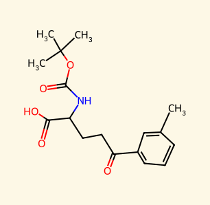 Cc1cccc(C(=O)CCC(NC(=O)OC(C)(C)C)C(=O)O)c1